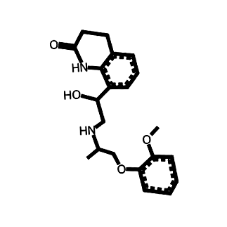 COc1ccccc1OCC(C)NCC(O)c1cccc2c1NC(=O)CC2